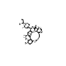 C=CC(=O)N1C[C@H](C)N(c2nc(=O)n3c4nc(c(Cl)cc24)-c2c(ccc(F)c2F)OCCCc2ncnc(C(C)C)c2-3)C[C@H]1C